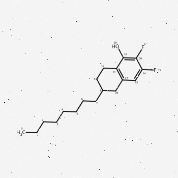 CCCCCCCCC1CCc2c(cc(F)c(F)c2O)C1